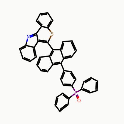 O=P(c1ccccc1)(c1ccccc1)c1ccc(-c2c3ccccc3c(-c3sc4ccccc4c4nc5ccccc5c3-4)c3ccccc23)cc1